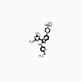 COc1ccc(Nc2nc3ccc(N4CCN(S(C)(=O)=O)CC4)cn3c2-c2nc(C)nc(N)n2)cn1